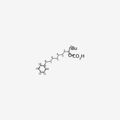 CCCCC(CCCCCCCc1ccccc1)OC(=O)O